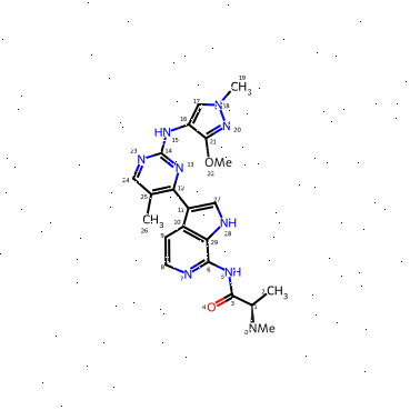 CN[C@H](C)C(=O)Nc1nccc2c(-c3nc(Nc4cn(C)nc4OC)ncc3C)c[nH]c12